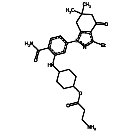 CCc1nn(-c2ccc(C(N)=O)c(NC3CCC(OC(=O)CCN)CC3)c2)c2c1C(=O)CC(C)(C)C2